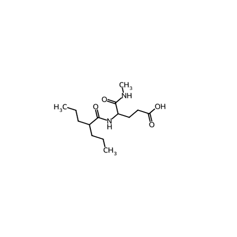 CCCC(CCC)C(=O)NC(CCC(=O)O)C(=O)NC